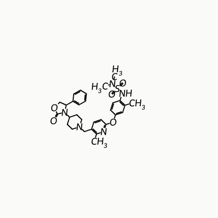 Cc1cc(Oc2ccc(CN3CCC(N4C(=O)OCC4c4ccccc4)CC3)c(C)n2)ccc1NS(=O)(=O)N(C)C